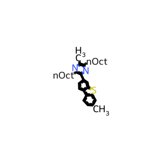 CCCCCCCCc1nc(-c2ccc3c(c2)sc2cc(C)ccc23)c(CCCCCCCC)nc1C